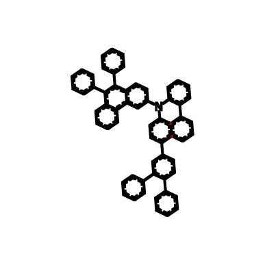 c1ccc(-c2ccc(-c3ccc(N(c4ccc5c(-c6ccccc6)c(-c6ccccc6)c6ccccc6c5c4)c4ccccc4-c4ccccc4)cc3)cc2-c2ccccc2)cc1